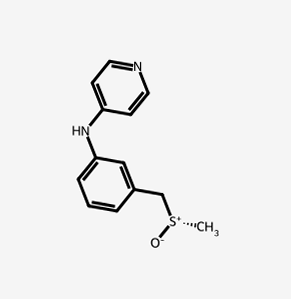 C[S@+]([O-])Cc1cccc(Nc2ccncc2)c1